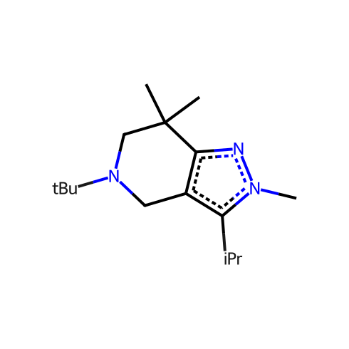 CC(C)c1c2c(nn1C)C(C)(C)CN(C(C)(C)C)C2